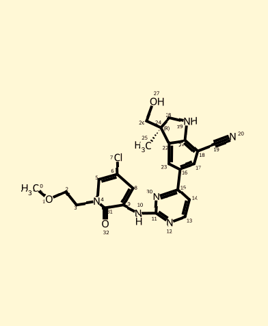 COCCn1cc(Cl)cc(Nc2nccc(-c3cc(C#N)c4c(c3)[C@@](C)(CO)CN4)n2)c1=O